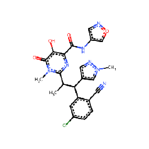 CC(c1nc(C(=O)Nc2cnoc2)c(O)c(=O)n1C)C(c1cnn(C)c1)c1cc(Cl)ccc1C#N